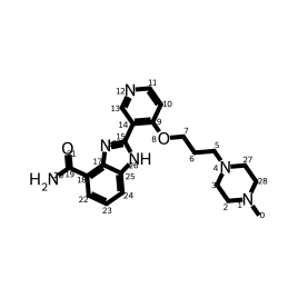 CN1CCN(CCCOc2ccncc2-c2nc3c(C(N)=O)cccc3[nH]2)CC1